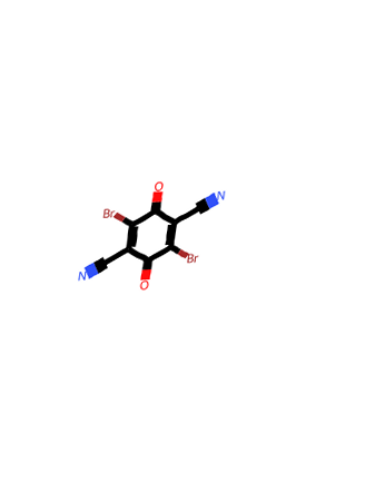 N#CC1=C(Br)C(=O)C(C#N)=C(Br)C1=O